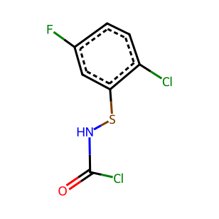 O=C(Cl)NSc1cc(F)ccc1Cl